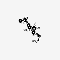 Cc1cc(N=Nc2c(S(=O)(=O)O)cc3cc(N=Nc4c(C)c(C#N)c5nc6ccccc6n5c4O)ccc3c2O)c(N(CCO)CCCO)cc1N=Nc1nnc(SCCS(=O)(=O)O)s1